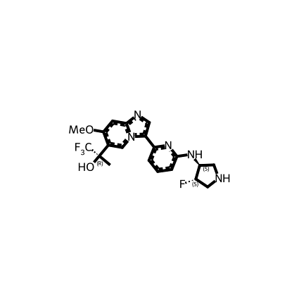 COc1cc2ncc(-c3cccc(N[C@H]4CNC[C@@H]4F)n3)n2cc1[C@@](C)(O)C(F)(F)F